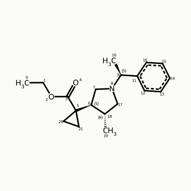 CCOC(=O)C1([C@H]2CN([C@@H](C)c3ccccc3)C[C@@H]2C)CC1